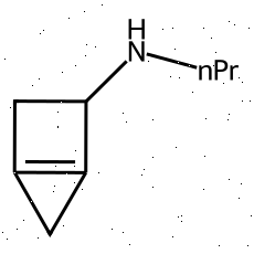 CCCNC1CC2=C1C2